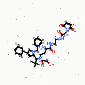 CC(C)(C)C(c1cc(-c2cc(F)ccc2F)cn1Cc1ccccc1)N(CCC(N)C(=O)NCCNC(=O)CN1C(=O)C=CC1=O)C(=O)CO